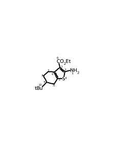 CCOC(=O)c1c(N)sc2c1CCC(C(C)(C)C)C2